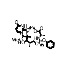 CO[C@@H](n1ccc(=O)[nH]c1=O)C(C)(F)C(O)[C@H](C)CO[P@@](=O)(N[C@H](C)C(=O)OC(C)C)Oc1ccccc1